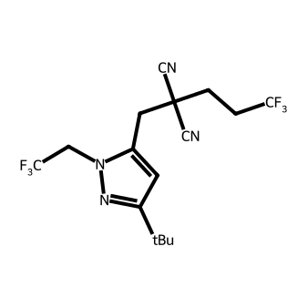 CC(C)(C)c1cc(CC(C#N)(C#N)CCC(F)(F)F)n(CC(F)(F)F)n1